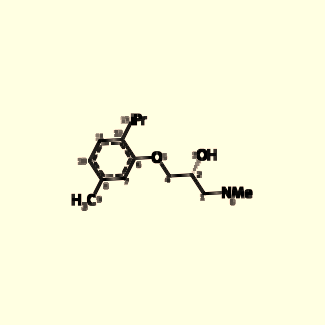 CNC[C@@H](O)COc1cc(C)ccc1C(C)C